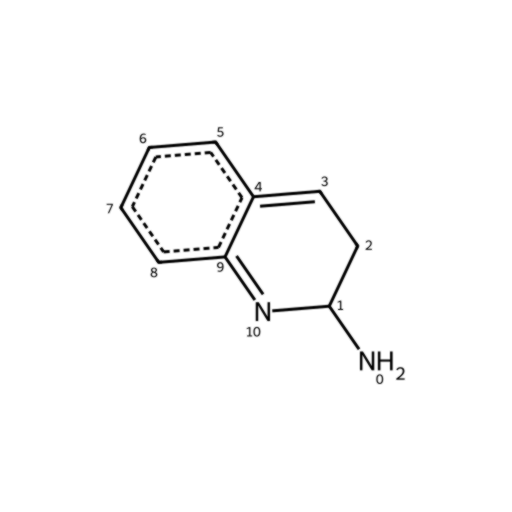 NC1CC=c2ccccc2=N1